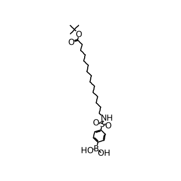 CC(C)(C)OC(=O)CCCCCCCCCCCCCCNS(=O)(=O)c1ccc(B(O)O)cc1